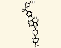 CC(C)c1cnc(N2CCC(n3cc(F)c4c(Nc5ccc(C(=O)N6CC[C@@H](O)C6)cc5F)ncnc43)CC2)nc1